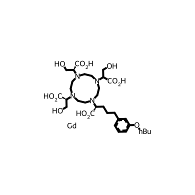 CCCCOc1cccc(CCC[C@@H](C(=O)O)N2CCN(C(CO)C(=O)O)CCN([C@@H](CO)C(=O)O)CCN([C@@H](CO)C(=O)O)CC2)c1.[Gd]